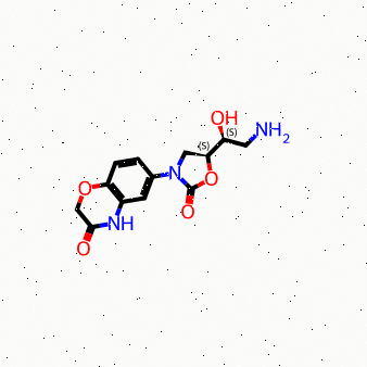 NC[C@H](O)[C@@H]1CN(c2ccc3c(c2)NC(=O)CO3)C(=O)O1